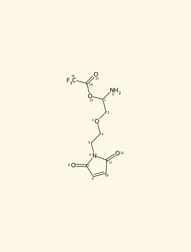 NC(COCCN1C(=O)C=CC1=O)OC(=O)C(F)(F)F